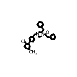 Cc1ccc(Cl)c(-c2ccc(CN3CCN(C(=O)Cc4ccccc4)C(Cc4ccccc4)C3)cc2)c1